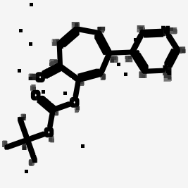 CC(C)(C)OC(=O)Oc1cc(-c2cncnc2)cccc1=O